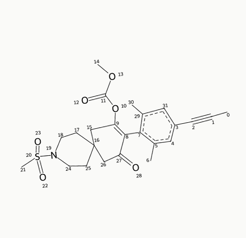 CC#Cc1cc(C)c(C2=C(OC(=O)OC)CC3(CCN(S(C)(=O)=O)CC3)CC2=O)c(C)c1